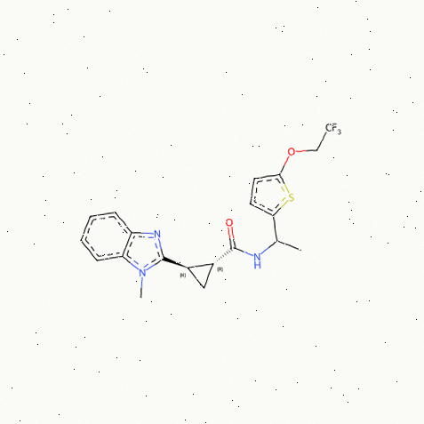 CC(NC(=O)[C@@H]1C[C@H]1c1nc2ccccc2n1C)c1ccc(OCC(F)(F)F)s1